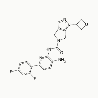 Nc1ccc(-c2ccc(F)cc2F)nc1NC(=O)N1Cc2cnn(C3COC3)c2C1